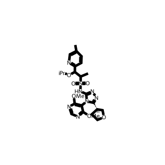 COc1ncnc(OC)c1-n1c(NS(=O)(=O)C(C)C(OC(C)C)c2ccc(C)cn2)nnc1[C@H]1CCOC1